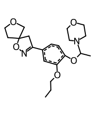 CCCOc1cc(C2=NOC3(CCOC3)C2)ccc1OC(C)N1CCOCC1